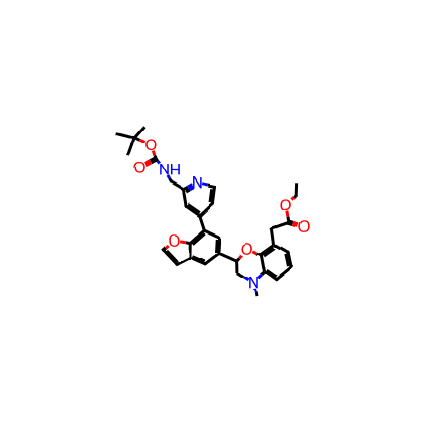 CCOC(=O)Cc1cccc2c1OC(c1cc(-c3ccnc(CNC(=O)OC(C)(C)C)c3)c3occc3c1)CN2C